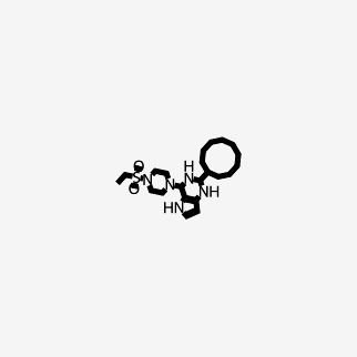 CCS(=O)(=O)N1CCN(C2NC(C3CCCCCCCCC3)Nc3cc[nH]c32)CC1